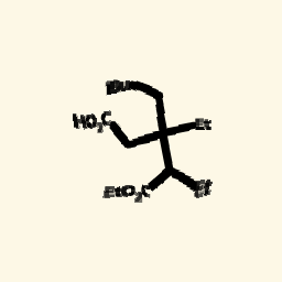 CCOC(=O)C(CC)C(CC)(CC(=O)O)CC(C)CC